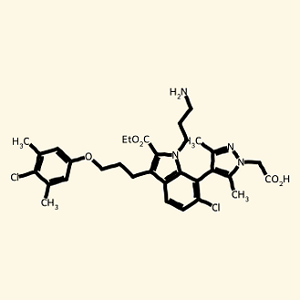 CCOC(=O)c1c(CCCOc2cc(C)c(Cl)c(C)c2)c2ccc(Cl)c(-c3c(C)nn(CC(=O)O)c3C)c2n1CCCN